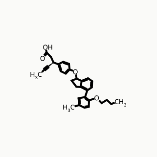 CC#C[C@@H](CC(=O)O)c1ccc(OC2CCc3c(-c4cc(C)ccc4OCCCC)cccc32)cc1